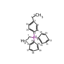 CCc1ccc([P](CC)(c2ccccc2)c2ccccc2)cc1